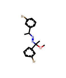 COC(C)(N=NC(C)c1cccc(Br)c1)c1cccc(Br)c1